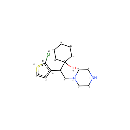 OC1(C(CN2CCNCC2)c2ccsc2Cl)CCCCC1